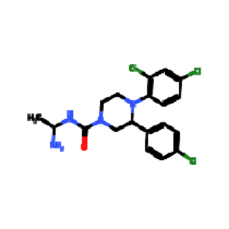 CC(N)NC(=O)N1CCN(c2ccc(Cl)cc2Cl)C(c2ccc(Cl)cc2)C1